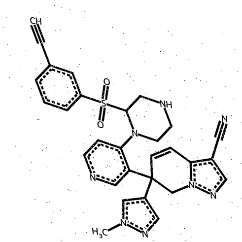 C#Cc1cccc(S(=O)(=O)C2CNCCN2c2ccncc2C2(c3cnn(C)c3)C=Cc3c(C#N)cnn3C2)c1